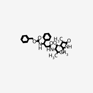 CC(C)[C@H](NC(=O)CC(NC(=O)OCc1ccccc1)c1ccccc1)C(=O)[C@@H]1C(=O)NC(=O)[C@H]1C